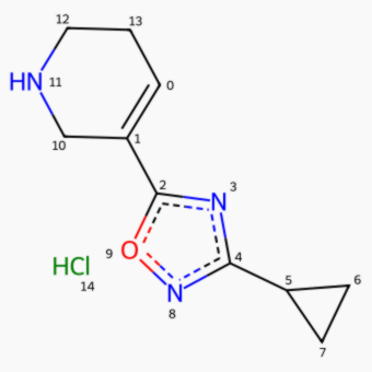 C1=C(c2nc(C3CC3)no2)CNCC1.Cl